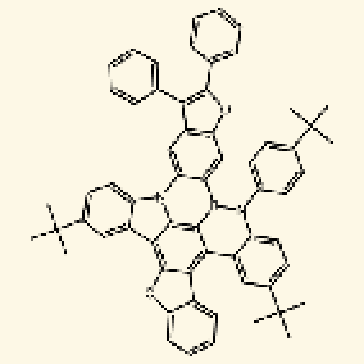 CC(C)(C)c1ccc(N2B3c4cc5oc(-c6ccccc6)c(-c6ccccc6)c5cc4-n4c5ccc(C(C)(C)C)cc5c5c6oc7ccccc7c6c(c3c54)-c3cc(C(C)(C)C)ccc32)cc1